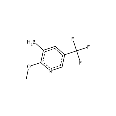 Bc1cc(C(F)(F)F)cnc1OC